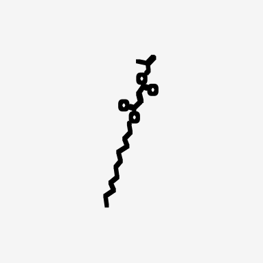 C=C(C)COC(=O)C=CC(=O)OCCCCCCCCCCCC